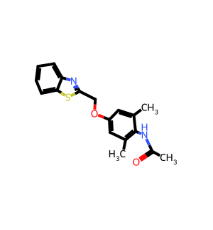 CC(=O)Nc1c(C)cc(OCc2nc3ccccc3s2)cc1C